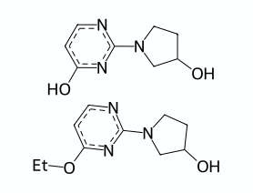 CCOc1ccnc(N2CCC(O)C2)n1.Oc1ccnc(N2CCC(O)C2)n1